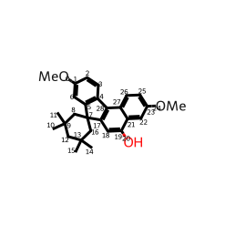 COc1ccc2c(c1)C1(CC(C)(C)CC(C)(C)C1)c1cc(O)c3cc(OC)ccc3c1-2